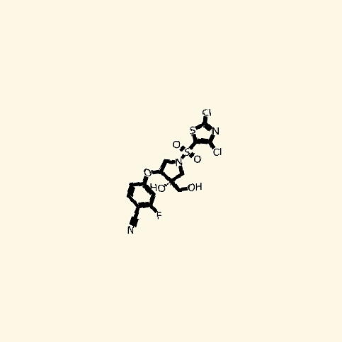 N#Cc1ccc(OC2CN(S(=O)(=O)c3sc(Cl)nc3Cl)C[C@@]2(O)CO)cc1F